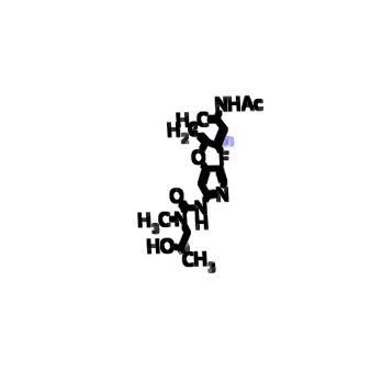 C=C(/C=C(/F)C(=C)Oc1ccnc(NC(=O)N(C)C[C@H](C)O)c1)NC(C)=O